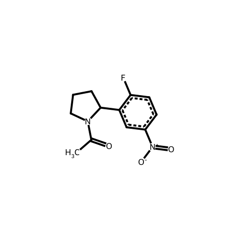 CC(=O)N1CCCC1c1cc([N+](=O)[O-])ccc1F